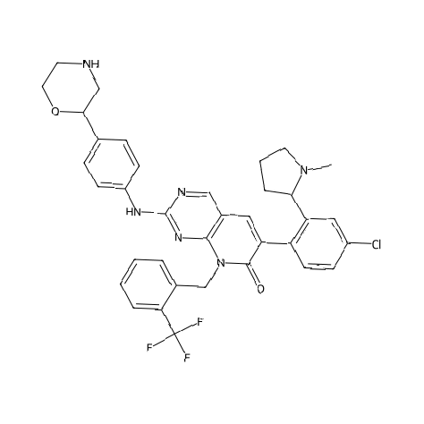 CN1CCCC1c1cc(Cl)ccc1-c1cc2cnc(Nc3ccc(C4CNCCO4)cc3)nc2n(Cc2ccccc2C(F)(F)F)c1=O